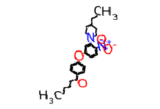 CCCCCC(=O)c1ccc(Oc2ccc([N+](=O)[O-])c(N3CCC(CCC)CC3)c2)cc1